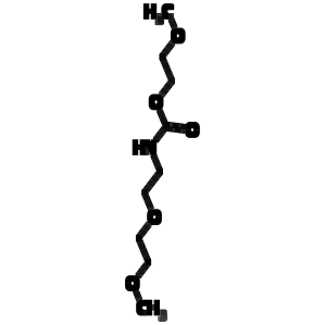 COCCOCCNC(=O)OCCOC